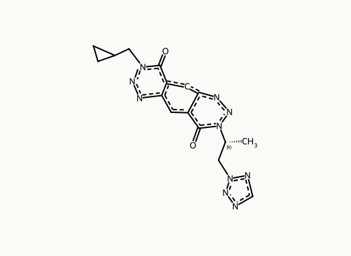 C[C@H](Cn1ncnn1)n1nnc2cc3c(=O)n(CC4CC4)nnc3cc2c1=O